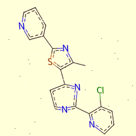 Cc1nc(-c2cccnc2)sc1-c1ccnc(-c2ncccc2Cl)n1